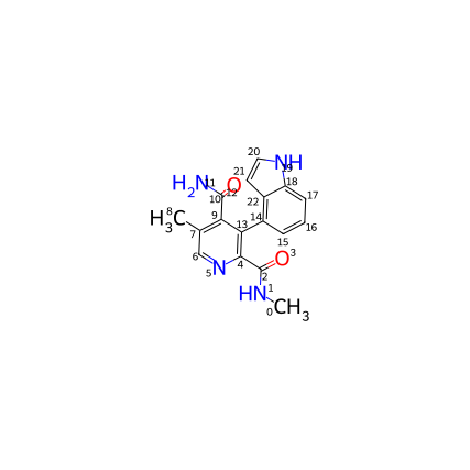 CNC(=O)c1ncc(C)c(C(N)=O)c1-c1cccc2[nH]ccc12